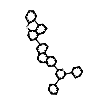 c1ccc(-c2cc(-c3ccccc3)nc(-c3ccc4c(ccc5cc(-c6ccc7c8c(cccc68)-c6ccccc6O7)ccc54)c3)c2)cc1